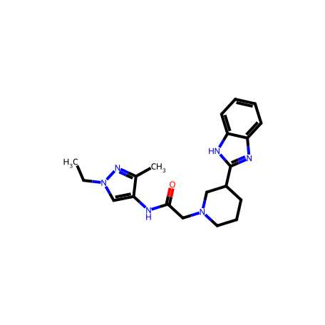 CCn1cc(NC(=O)CN2CCCC(c3nc4ccccc4[nH]3)C2)c(C)n1